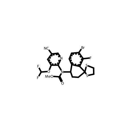 COC(=O)N(c1ncc(C#N)cc1OC(F)F)C1CCC2(SCCS2)c2c1ccc(Br)c2F